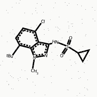 Cn1nc(NS(=O)(=O)C2CC2)c2c(Cl)ccc(C(C)(C)C)c21